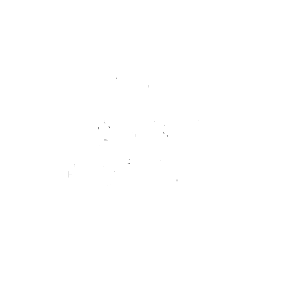 CCC(c1ccccn1)(c1ccccn1)S(=O)(=O)O